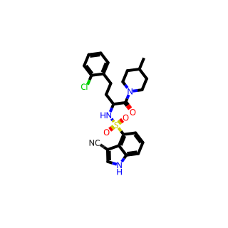 CC1CCN(C(=O)C(CCc2ccccc2Cl)NS(=O)(=O)c2cccc3[nH]cc(C#N)c23)CC1